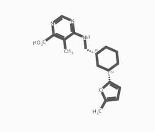 Cc1ccc([C@H]2CCC[C@@H](CNc3ncnc(C(=O)O)c3C)C2)o1